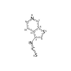 S=C=Nc1csc2cnccc12